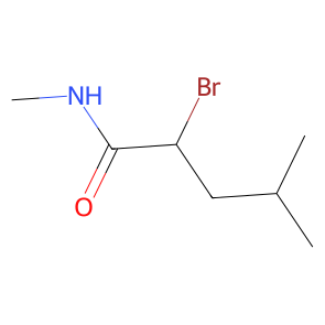 CNC(=O)C(Br)CC(C)C